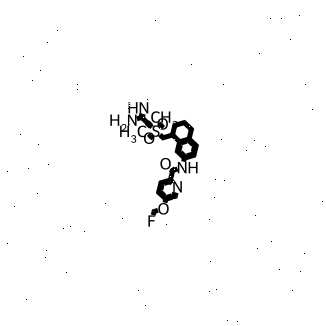 CC(C)(C(=N)N)S(=O)(=O)CC1CCCc2ccc(NC(=O)c3ccc(OCF)cn3)cc21